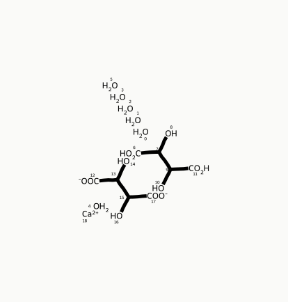 O.O.O.O.O.O.O=C(O)C(O)C(O)C(=O)O.O=C([O-])C(O)C(O)C(=O)[O-].[Ca+2]